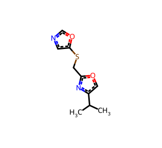 CC(C)c1coc(CSc2cnco2)n1